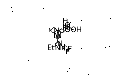 CCc1cc(-c2cnn(-c3ccc(NS(=O)(=O)CCO)cc3N3CCC4(CC3)CC4)c2)nc(N2CCC(F)(F)CC2)n1